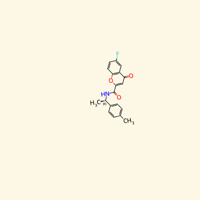 Cc1ccc([C@@H](C)NC(=O)c2cc(=O)c3cc(F)ccc3o2)cc1